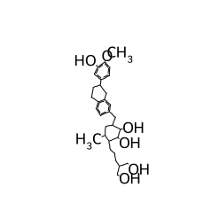 COc1ccc(C2CCc3ccc(CC4CC(C)C(CCCC(CO)CO)C(O)C4O)cc3C2)cc1O